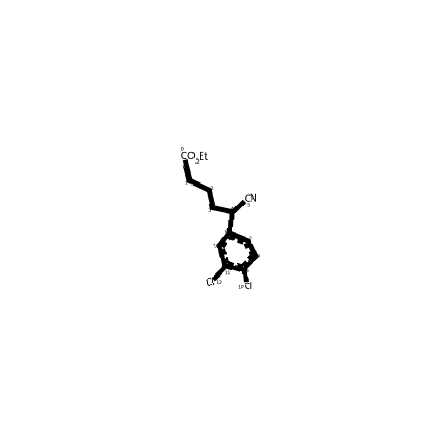 CCOC(=O)CCCC(C#N)c1ccc(Cl)c(Cl)c1